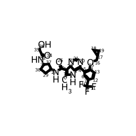 Cc1[nH]c2c(-c3cc(C(F)(F)F)ccc3OCC3CC3)ncnc2c1C(=O)N[C@H]1CC[C@@H](NC(=O)CO)C1